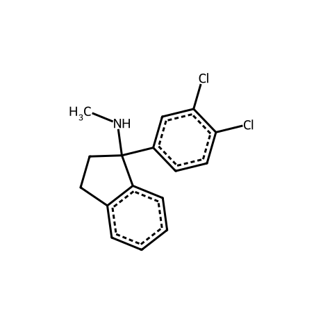 CNC1(c2ccc(Cl)c(Cl)c2)CCc2ccccc21